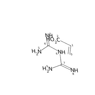 C=CC(=O)O.N=C(N)NC(=N)N